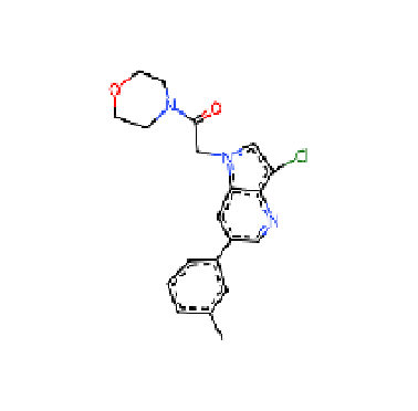 Cc1cccc(-c2cnc3c(Cl)cn(CC(=O)N4CCOCC4)c3c2)c1